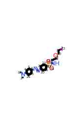 CN(C)c1ccc(/N=N/c2ccc(S(=O)(=O)NCCOCCI)cc2)cc1